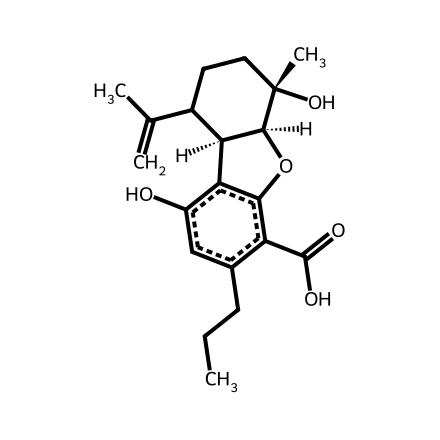 C=C(C)C1CC[C@](C)(O)[C@H]2Oc3c(C(=O)O)c(CCC)cc(O)c3[C@@H]12